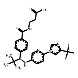 CC(C)(C)[C@H](Nc1ccc(-n2cnc(C(F)(F)F)c2)nc1)c1ccc(C(=O)NCCC(=O)O)cc1